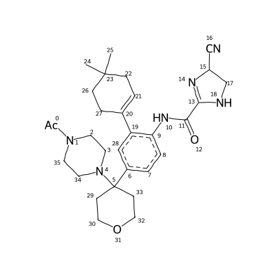 CC(=O)N1CCN(C2(c3ccc(NC(=O)C4=NC(C#N)CN4)c(C4=CCC(C)(C)CC4)c3)CCOCC2)CC1